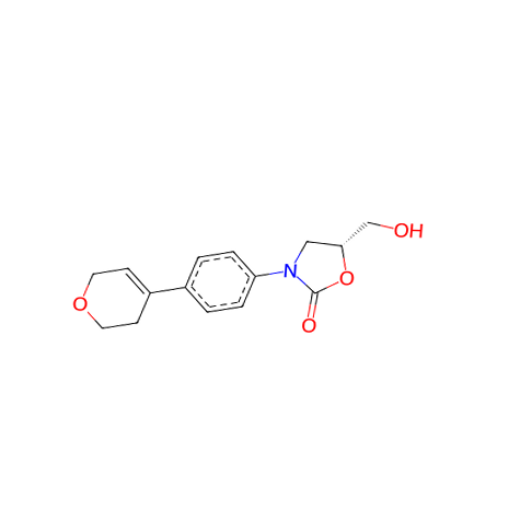 O=C1O[C@@H](CO)CN1c1ccc(C2=CCOCC2)cc1